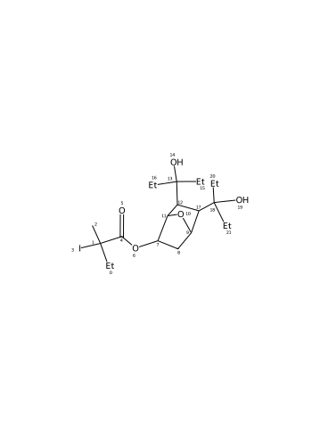 CCC(C)(I)C(=O)OC1CC2OC1C(C(O)(CC)CC)C2C(O)(CC)CC